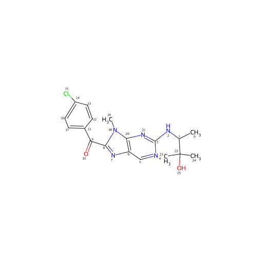 CC(Nc1ncc2nc(C(=O)c3ccc(Cl)cc3)n(C)c2n1)C(C)(C)O